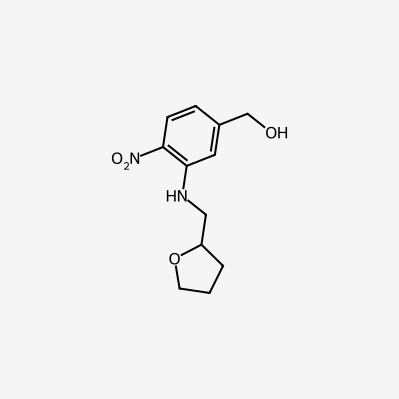 O=[N+]([O-])c1ccc(CO)cc1NCC1CCCO1